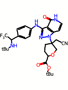 CC(C)(C)NC(c1ccc(Nc2nn(C3(CC#N)CCC(C(=O)OC(C)(C)C)OC3)c3cc[nH]c(=O)c23)cc1)C(F)(F)F